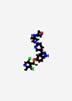 Cc1ncc(Cl)c([C@@H](C)Oc2ccc3[nH]nc(-c4ccc(N5CC(C)(NC6COC6)C5)nc4)c3c2)c1Cl